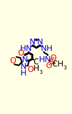 Cc1cc(Nc2cc(NCCNS(C)(=O)=O)ncn2)c(=O)n2c1C(=O)NC21CCOCC1